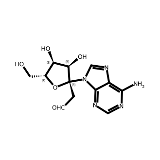 Nc1ncnc2c1ncn2[C@]1(CC=O)O[C@H](CO)[C@@H](O)[C@H]1O